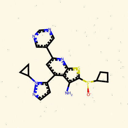 Nc1c([S@+]([O-])C2CCC2)sc2nc(-c3cncnc3)cc(-c3ccnn3C3CC3)c12